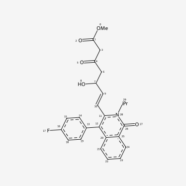 COC(=O)CC(=O)CC(O)C=Cc1c(-c2ccc(F)cc2)c2ccccc2c(=O)n1C(C)C